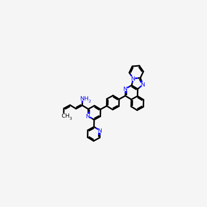 C/C=C\C=C(/N)c1cc(-c2ccc(-c3nc4c(nc5ccccn54)c4ccccc34)cc2)cc(-c2ccccn2)n1